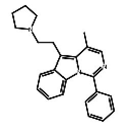 Cc1cnc(-c2ccccc2)n2c1c(CCN1CCCC1)c1ccccc12